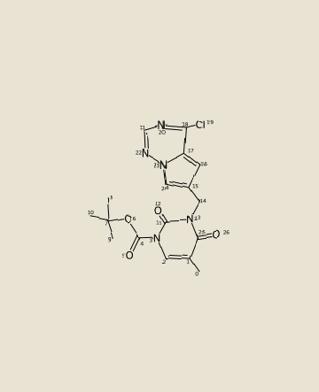 Cc1cn(C(=O)OC(C)(C)C)c(=O)n(Cc2cc3c(Cl)ncnn3c2)c1=O